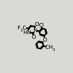 Cc1ccccc1Oc1ccc(Cl)c(-n2c(=O)cc(C(F)(F)F)[nH]c2=O)c1